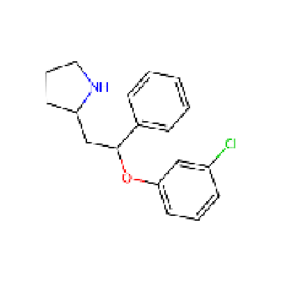 Clc1cccc(OC(CC2CCCN2)c2ccccc2)c1